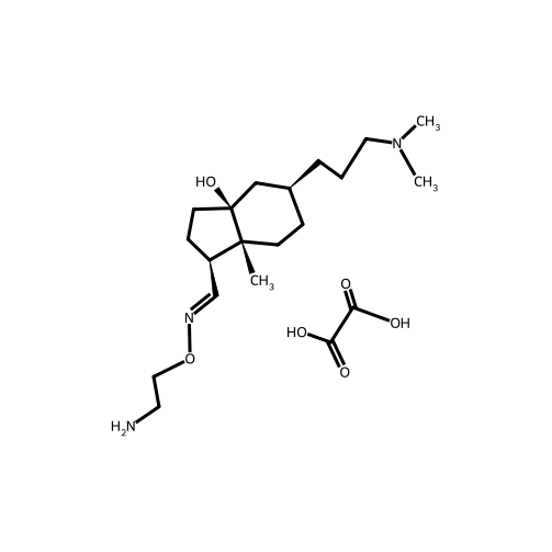 CN(C)CCC[C@H]1CC[C@]2(C)[C@@H](/C=N/OCCN)CC[C@]2(O)C1.O=C(O)C(=O)O